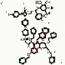 O=C(O)C1C[C@@H](O[C@@H](CC[C@H]2C(=O)N(c3ccc(F)cc3)[C@@H]2c2ccc(-c3ccc(S(=O)(=O)C[C@@H]4OC(COCc5ccccc5)[C@@H](O[C@@H]5OC(COCc6ccccc6)[C@@H](OCc6ccccc6)[C@@H](OCc6ccccc6)C5OCc5ccccc5)[C@@H](OCc5ccccc5)C4OCc4ccccc4)cc3)cc2)c2ccc(F)cc2)C(O)[C@@H](O)[C@@H]1O